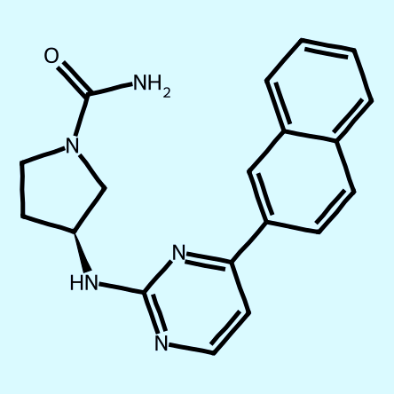 NC(=O)N1CC[C@H](Nc2nccc(-c3ccc4ccccc4c3)n2)C1